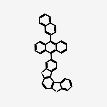 c1ccc2cc(-c3c4ccccc4c(-c4ccc5c(c4)sc4ccc6sc7ccccc7c6c45)c4ccccc34)ccc2c1